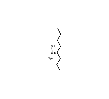 CCCCCCCC.CCCCCCN.O